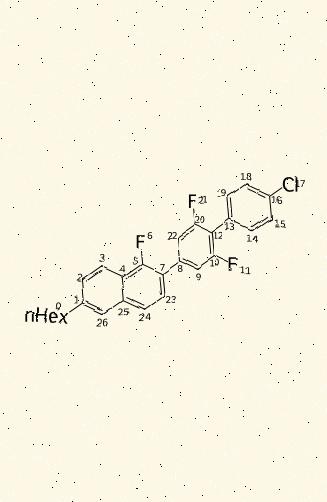 CCCCCCc1ccc2c(F)c(-c3cc(F)c(-c4ccc(Cl)cc4)c(F)c3)ccc2c1